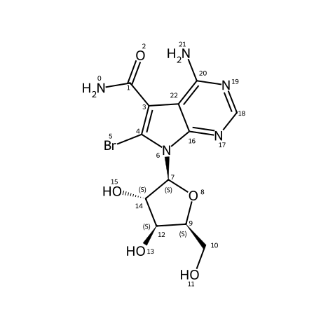 NC(=O)c1c(Br)n([C@H]2O[C@@H](CO)[C@@H](O)[C@@H]2O)c2ncnc(N)c12